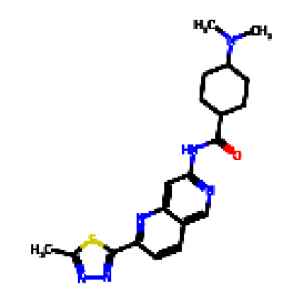 Cc1nnc(-c2ccc3cnc(NC(=O)C4CCC(N(C)C)CC4)cc3n2)s1